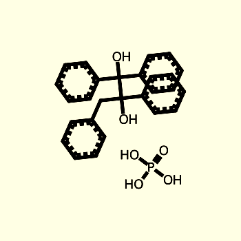 O=P(O)(O)O.OC(Cc1ccccc1)(c1ccccc1)C(O)(c1ccccc1)c1ccccc1